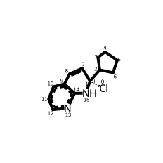 Cl[C@@]1(C2CCCC2)C=Cc2cccnc2N1